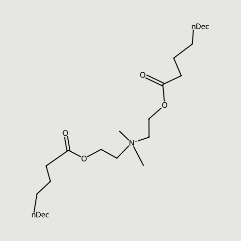 CCCCCCCCCCCCCC(=O)OCC[N+](C)(C)CCOC(=O)CCCCCCCCCCCCC